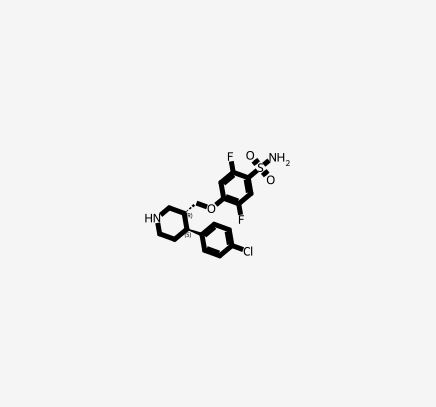 NS(=O)(=O)c1cc(F)c(OC[C@H]2CNCC[C@@H]2c2ccc(Cl)cc2)cc1F